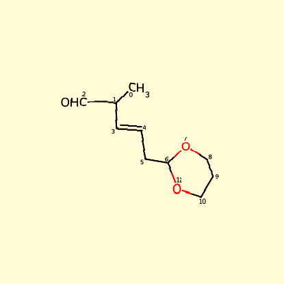 CC(C=O)C=CCC1OCCCO1